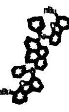 CCCCc1cccc2c1oc1c(N(c3ccccc3)c3ccc4ccc5c(N(c6ccccc6)c6cccc7c6oc6c(CCCC)cccc67)ccc6ccc3c4c65)cccc12